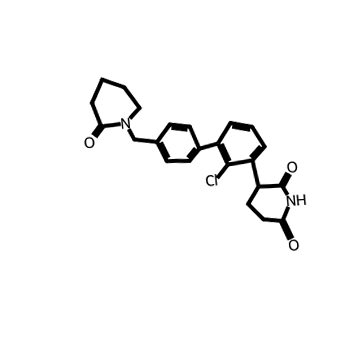 O=C1CCC(c2cccc(-c3ccc(CN4CCCCC4=O)cc3)c2Cl)C(=O)N1